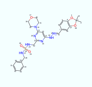 CC1(C)Oc2ccc(/C=N/Nc3cc(N4CCOCC4)nc(CNS(=O)(=O)NCc4ccccc4)n3)cc2O1